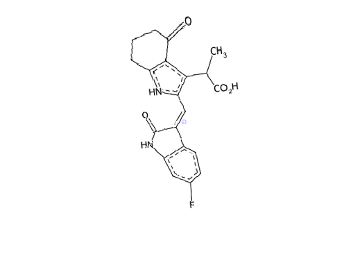 CC(C(=O)O)c1c(/C=C2\C(=O)Nc3cc(F)ccc32)[nH]c2c1C(=O)CCC2